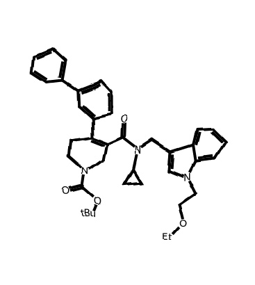 CCOCCn1cc(CN(C(=O)C2=C(c3cccc(-c4ccccc4)c3)CCN(C(=O)OC(C)(C)C)C2)C2CC2)c2ccccc21